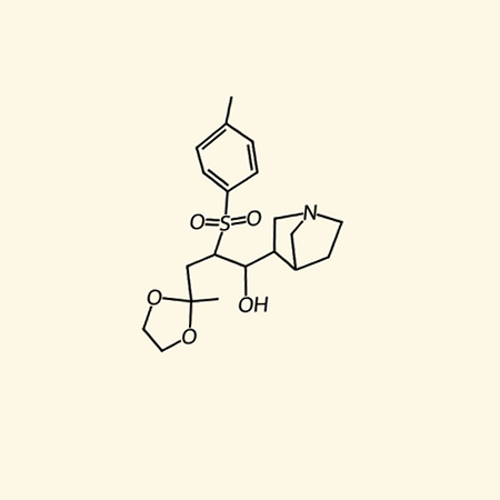 Cc1ccc(S(=O)(=O)C(CC2(C)OCCO2)C(O)C2CN3CCC2C3)cc1